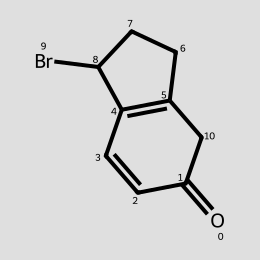 O=C1C=CC2=C(CCC2Br)C1